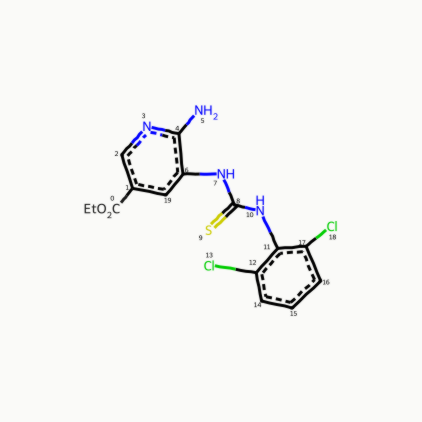 CCOC(=O)c1cnc(N)c(NC(=S)Nc2c(Cl)cccc2Cl)c1